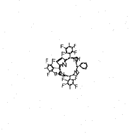 Cc1c(F)c(F)c(-c2c3nc(c(-c4c(F)c(F)c(C)c(F)c4F)c4ccc([nH]4)c(-c4c(F)c(F)c(C)c(F)c4F)c4nc(c(-c5ccccc5)c5ccc2[nH]5)C=C4)C=C3)c(F)c1F